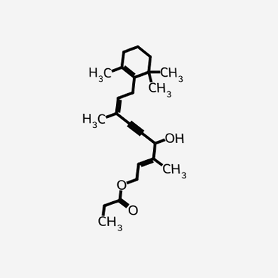 CCC(=O)OCC=C(C)C(O)C#CC(C)=CCC1=C(C)CCCC1(C)C